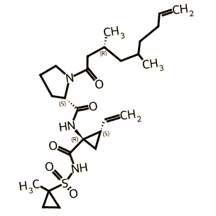 C=CCCC(C)C[C@@H](C)CC(=O)N1CCC[C@H]1C(=O)N[C@]1(C(=O)NS(=O)(=O)C2(C)CC2)C[C@H]1C=C